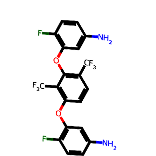 Nc1ccc(F)c(Oc2ccc(C(F)(F)F)c(Oc3cc(N)ccc3F)c2C(F)(F)F)c1